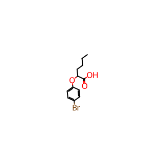 CCCCC(Oc1ccc(Br)cc1)C(=O)O